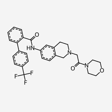 O=C(Nc1ccc2c(c1)CCN(CC(=O)N1CCOCC1)C2)c1ccccc1-c1ccc(C(F)(F)F)cc1